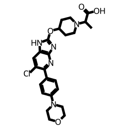 CC(C(=O)O)N1CCC(Oc2nc3nc(-c4ccc(N5CCOCC5)cc4)c(Cl)cc3[nH]2)CC1